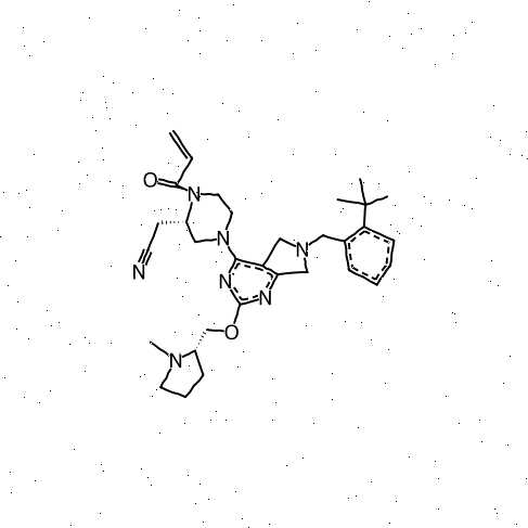 C=CC(=O)N1CCN(c2nc(OC[C@@H]3CCCN3C)nc3c2CN(Cc2ccccc2C(C)(C)C)C3)C[C@@H]1CC#N